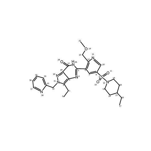 CCc1c2nc(-c3cc(S(=O)(=O)N4CCC(CC)CC4)cnc3COC)[nH]c(=O)c2nn1Cc1ccccn1